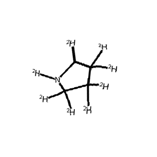 [2H]C1N([2H])C([2H])([2H])C([2H])([2H])C1([2H])[2H]